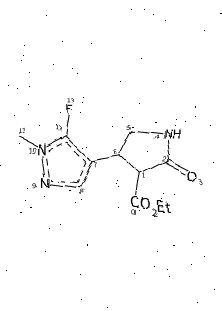 CCOC(=O)C1C(=O)NCC1c1cnn(C)c1F